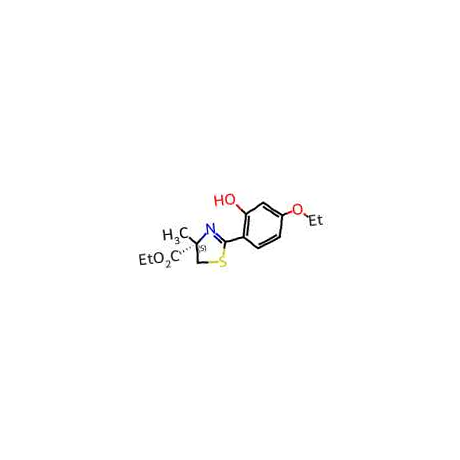 CCOC(=O)[C@@]1(C)CSC(c2ccc(OCC)cc2O)=N1